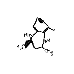 C=C1CC(C)Nc2c(Br)cccc2N1